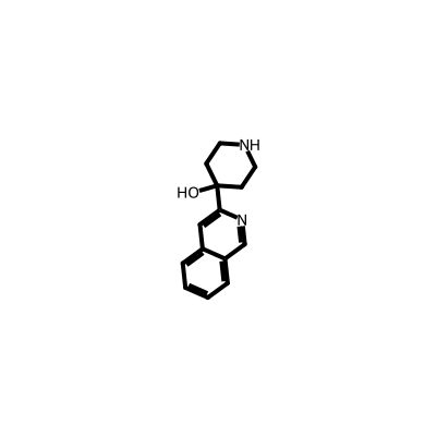 OC1(c2cc3ccccc3cn2)CCNCC1